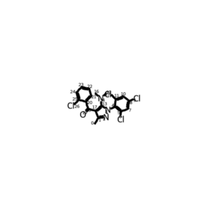 Cc1nn(-c2c(Cl)cc(Cl)cc2Cl)c(N(C)C)c1C(=O)c1ccccc1Cl